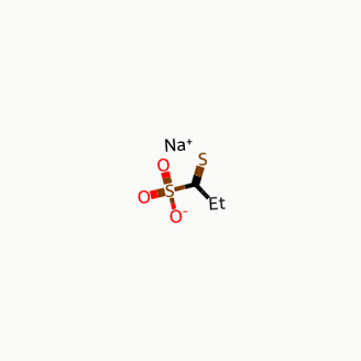 CCC(=S)S(=O)(=O)[O-].[Na+]